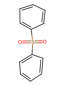 O=S(=O)(c1[c]cccc1)c1ccccc1